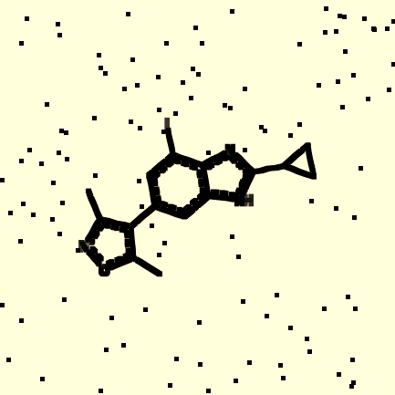 Cc1noc(C)c1-c1cc(I)c2nc(C3CC3)[nH]c2c1